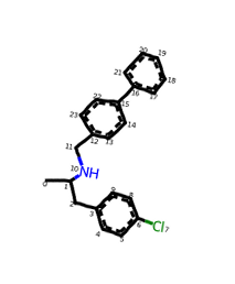 CC(Cc1ccc(Cl)cc1)NCc1ccc(-c2ccccc2)cc1